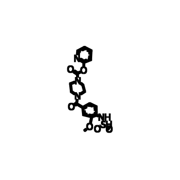 COc1cc(C(=O)N2CCN(C(=O)Oc3ccccn3)CC2)ccc1N[SH](=O)=O